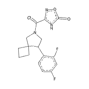 O=C(c1noc(=O)[nH]1)N1CC(c2ccc(F)cc2F)C2(CCC2)C1